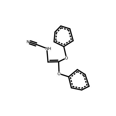 N#CNC=C(Oc1ccccc1)Oc1ccccc1